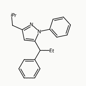 [CH2]CC(c1ccccc1)c1cc(CC(C)C)nn1-c1ccccc1